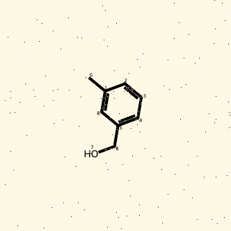 [CH2]c1cccc(CO)c1